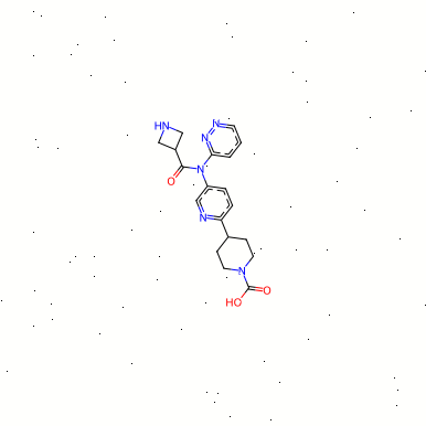 O=C(O)N1CCC(c2ccc(N(C(=O)C3CNC3)c3cccnn3)cn2)CC1